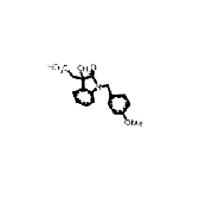 COc1ccc(CN2C(=O)C(C)(CC(=O)O)c3ccccc32)cc1